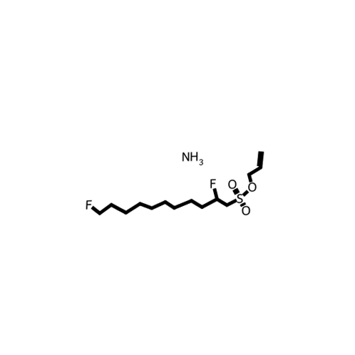 C=CCOS(=O)(=O)CC(F)CCCCCCCCCF.N